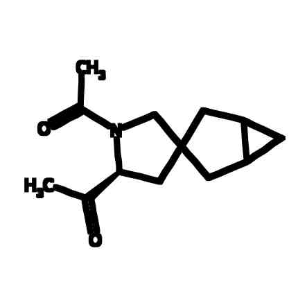 CC(=O)[C@@H]1CC2(CC3CC3C2)CN1C(C)=O